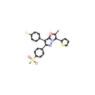 Cc1oc2c(-c3ccc(F)cc3)c(-c3ccc(S(C)(=O)=O)cc3)nn2c1-c1cccs1